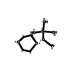 C1COCCO1.CC(C)[O][Ti]([OH])([OH])[OH]